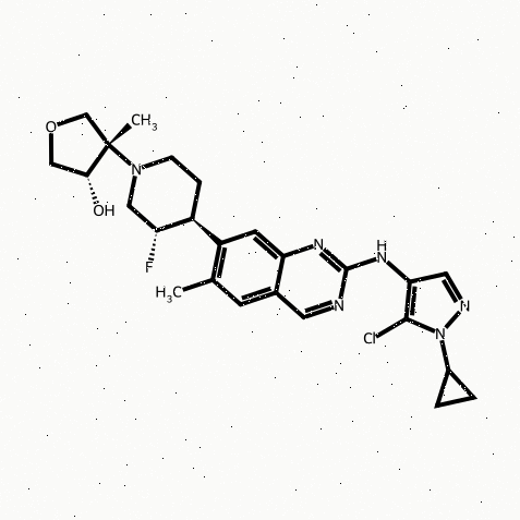 Cc1cc2cnc(Nc3cnn(C4CC4)c3Cl)nc2cc1[C@@H]1CCN([C@@]2(C)COC[C@H]2O)C[C@H]1F